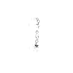 CCC(C)n1ncn(-c2ccc(N3CCN(c4ccc(OCC5COC(CC)(c6ccc7c(c6)NCC7)O5)cc4)CC3)cc2)c1=O